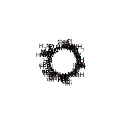 CCCC[C@H]1C(=O)N(C)[C@@H](CCCC)C(=O)N[C@@H](CCCNC(=N)N)C(=O)N[C@H](C(=O)NCC(N)=O)CSCC(=O)N[C@@H](Cc2ccc(Cl)cc2Cl)C(=O)N(C)[C@@H](C)C(=O)NC(CC(N)=O)C(=O)N2CCC[C@H]2C(=O)N[C@@H](Cc2cnc[nH]2)C(=O)N[C@@H](CC(C)C)C(=O)N2C[C@H](O)CC2C(=O)N[C@@H](Cc2c[nH]c3ccccc23)C(=O)N[C@@H](CO)C(=O)NC(Cc2c[nH]c3ccccc23)C(=O)N1C